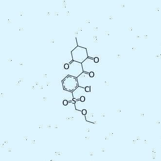 CCOCS(=O)(=O)c1cccc(C(=O)C2C(=O)CC(C)CC2=O)c1Cl